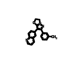 Cc1cccc(-c2nn3c(c2-c2ccc4ncccc4c2)OCC3)c1